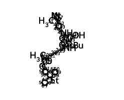 CC/C(=C(\C1=CC=C=C=C1)c1ccc(OCCN(C)C(=O)CCCCCCC(=O)N[C@H](C(=O)N2C[C@H](O)C[C@H]2C(=O)NCc2ccc(-c3scnc3C)cc2)C(C)(C)C)cc1)c1ccccc1